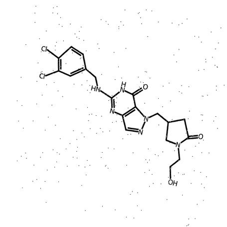 O=C1CC(Cn2ncc3nc(NCc4ccc(Cl)c(Cl)c4)[nH]c(=O)c32)CN1CCO